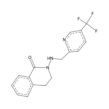 O=C1c2ccccc2CCN1NCc1ccc(C(F)(F)F)cn1